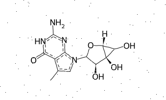 Cc1cn(C2O[C@@H]3C(O)[C@]3(O)[C@H]2O)c2nc(N)[nH]c(=O)c12